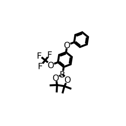 CC1(C)OB(c2ccc(Oc3ccccc3)cc2OC(F)(F)F)OC1(C)C